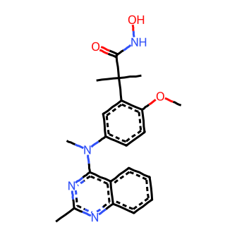 COc1ccc(N(C)c2nc(C)nc3ccccc23)cc1C(C)(C)C(=O)NO